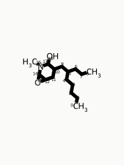 CCCCCC(CCC)CC1CC2OC2N(C)C1O